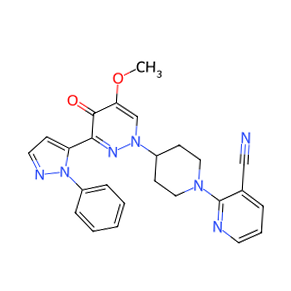 COc1cn(C2CCN(c3ncccc3C#N)CC2)nc(-c2ccnn2-c2ccccc2)c1=O